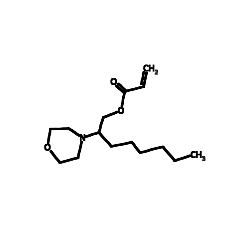 C=CC(=O)OCC(CCCCCC)N1CCOCC1